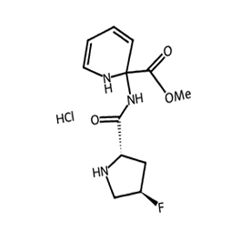 COC(=O)C1(NC(=O)[C@@H]2C[C@@H](F)CN2)C=CC=CN1.Cl